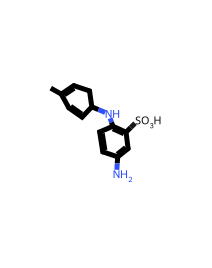 CC1=CCC(Nc2ccc(N)cc2S(=O)(=O)O)C=C1